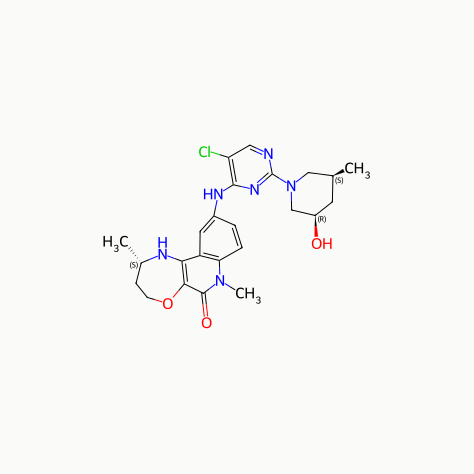 C[C@H]1C[C@@H](O)CN(c2ncc(Cl)c(Nc3ccc4c(c3)c3c(c(=O)n4C)OCC[C@H](C)N3)n2)C1